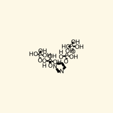 O=P(O)(O)O.O=P(O)(O)O.O=P(O)(O)O.O=P(O)(O)O.c1cncnc1